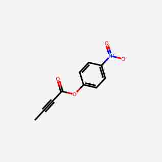 CC#CC(=O)Oc1ccc([N+](=O)[O-])cc1